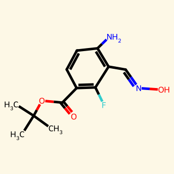 CC(C)(C)OC(=O)c1ccc(N)c(C=NO)c1F